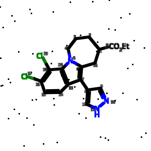 CCOC(=O)C1CCCn2c(c(-c3cn[nH]c3)c3ccc(Cl)c(Cl)c32)C1